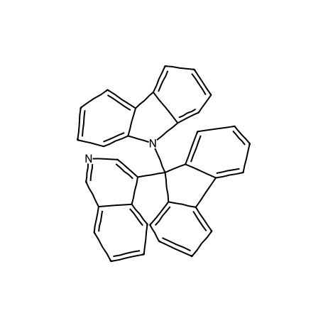 c1ccc2c(c1)-c1ccccc1C2(c1cncc2ccccc12)n1c2ccccc2c2ccccc21